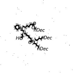 CCCCCCCCCCCCCCN(CCCCCCCCCCCCCC)C(=O)CCCCCN(CCO)CCN(CCCCCC(=O)OCCCCCCCCCCC)C1CCCCC1